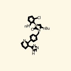 CCCCc1cn(-c2c(Cl)cccc2CCC)c(=O)n1Cc1ccc(-c2ncccc2-c2nnn[nH]2)cc1